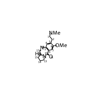 CNCCc1cc2c(cc1OC)C(=O)N1CCC[C@H]1C=N2